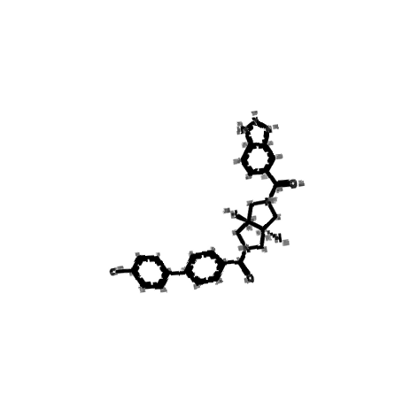 O=C(c1ccc(-c2ccc(Cl)cc2)cc1)N1C[C@@H]2CN(C(=O)c3ccc4[nH]nnc4c3)C[C@H]2C1